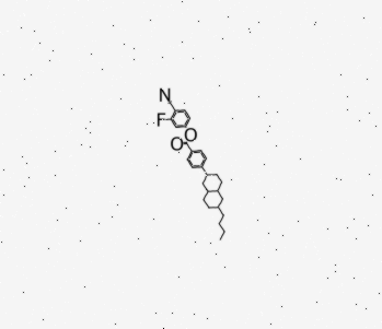 CCCCC1CCC2CC(c3ccc(C(=O)Oc4ccc(C#N)c(F)c4)cc3)CCC2C1